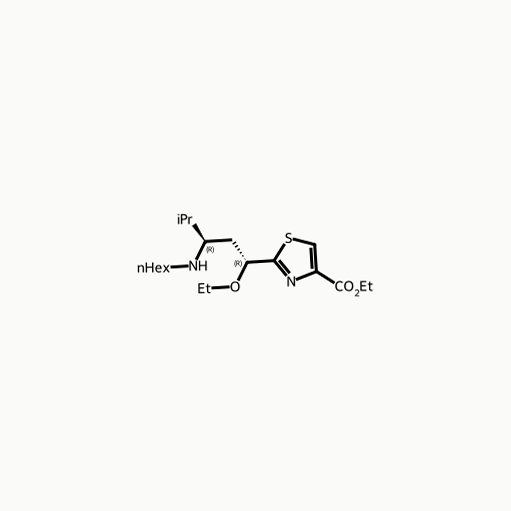 CCCCCCN[C@H](C[C@@H](OCC)c1nc(C(=O)OCC)cs1)C(C)C